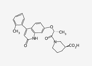 Cc1ccccc1-c1cc(=O)[nH]c2cc(O[C@H](C)C(=O)N3CCC[C@H](C(=O)O)C3)ccc12